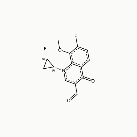 COc1c(F)ccc2c(=O)c(C=O)cn([C@@H]3C[C@@H]3F)c12